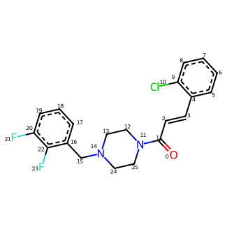 O=C(C=Cc1ccccc1Cl)N1CCN(Cc2cccc(F)c2F)CC1